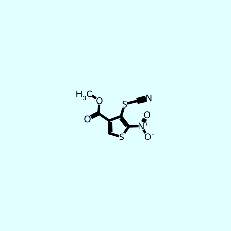 COC(=O)c1csc([N+](=O)[O-])c1SC#N